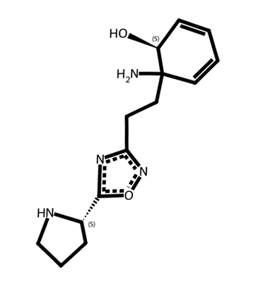 NC1(CCc2noc([C@@H]3CCCN3)n2)C=CC=C[C@@H]1O